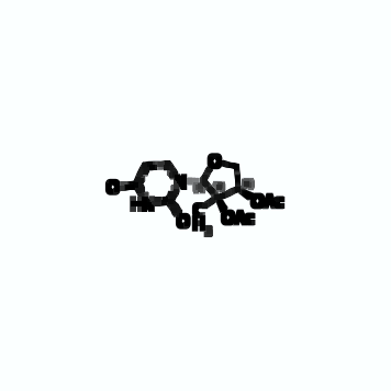 CC(=O)O[C@@H]1CO[C@@H](n2ccc(=O)[nH]c2=O)[C@]1(C)OC(C)=O